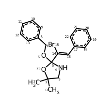 CC1(C)CNC(OCc2ccccc2)(C(Br)=Cc2ccccc2)O1